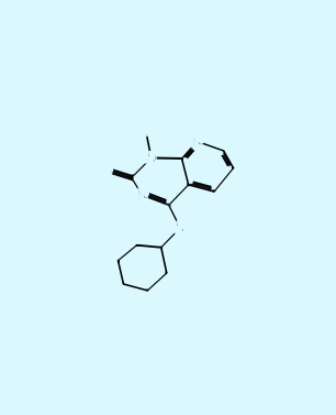 O=c1nc(NC2CCCCC2)c2cccnc2n1O